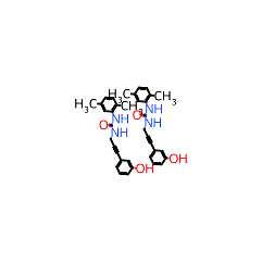 Cc1ccc(C)c(NC(=O)NCC#Cc2cccc(O)c2)c1.Cc1ccc(C)c(NC(=O)NCC#Cc2cccc(O)c2)c1